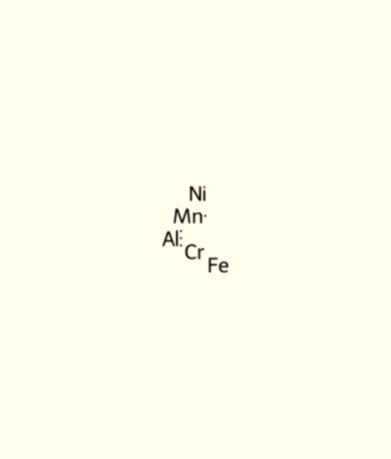 [Al].[Cr].[Fe].[Mn].[Ni]